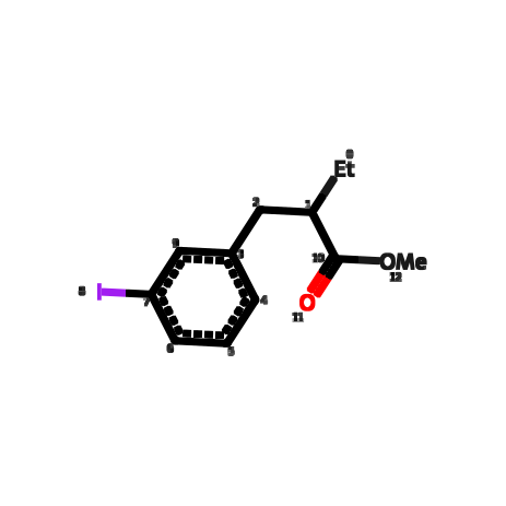 CCC(Cc1cccc(I)c1)C(=O)OC